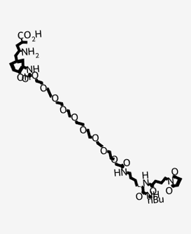 CCCCNC(=O)[C@H](CCCCNC(=O)COCCOCCOCCOCCOCCOCCOCCOCCOC(=O)Nc1cc(C[C@H](N)C[C@H](C)C(=O)O)ccc1O)NC(=O)CCCN1C(=O)C=CC1=O